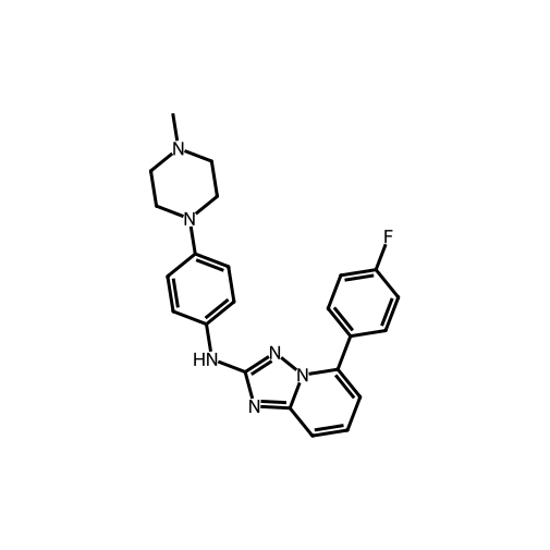 CN1CCN(c2ccc(Nc3nc4cccc(-c5ccc(F)cc5)n4n3)cc2)CC1